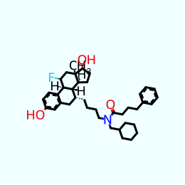 C[C@]12C[C@H](F)[C@@H]3c4ccc(O)cc4C[C@@H](CCCCN(CC4CCCCC4)C(=O)CCCc4ccccc4)[C@H]3[C@@H]1CC[C@@H]2O